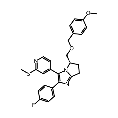 COc1ccc(COC[C@H]2CCc3nc(-c4ccc(F)cc4)c(-c4ccnc(SC)c4)n32)cc1